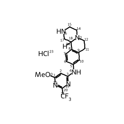 COc1cc(Nc2ccc3c(c2)CCN2CCNC[C@@H]32)nc(C(F)(F)F)n1.Cl